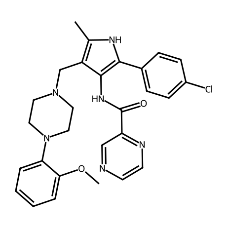 COc1ccccc1N1CCN(Cc2c(C)[nH]c(-c3ccc(Cl)cc3)c2NC(=O)c2cnccn2)CC1